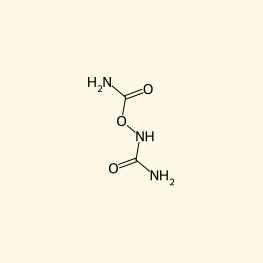 NC(=O)NOC(N)=O